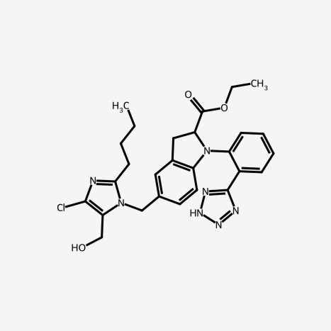 CCCCc1nc(Cl)c(CO)n1Cc1ccc2c(c1)CC(C(=O)OCC)N2c1ccccc1-c1nn[nH]n1